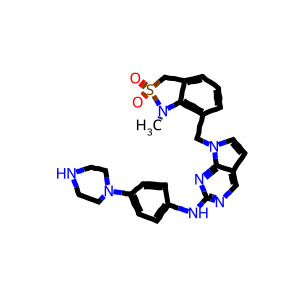 CN1c2c(Cn3ccc4cnc(Nc5ccc(N6CCNCC6)cc5)nc43)cccc2CS1(=O)=O